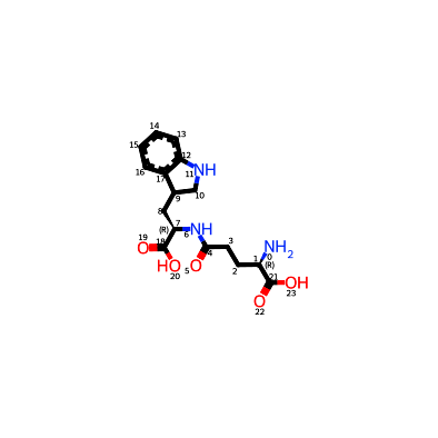 N[C@H](CCC(=O)N[C@H](CC1CNc2ccccc21)C(=O)O)C(=O)O